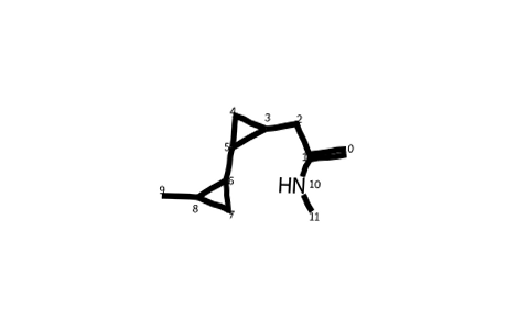 C=C(CC1CC1C1CC1C)NC